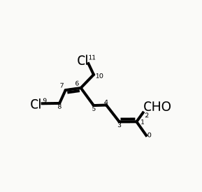 C/C(C=O)=C/CC/C(=C\CCl)CCl